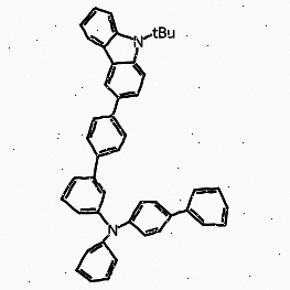 CC(C)(C)n1c2ccccc2c2cc(-c3ccc(-c4cccc(N(c5ccccc5)c5ccc(-c6ccccc6)cc5)c4)cc3)ccc21